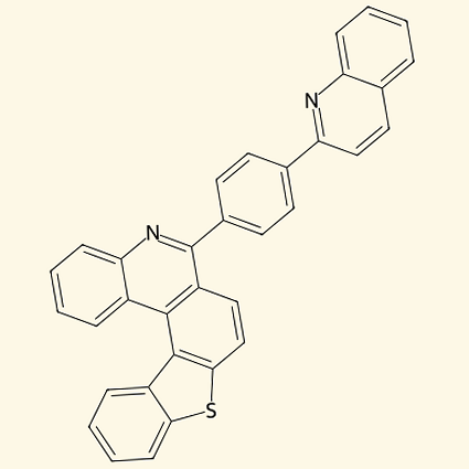 c1ccc2nc(-c3ccc(-c4nc5ccccc5c5c4ccc4sc6ccccc6c45)cc3)ccc2c1